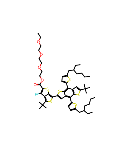 CCCCC(CC)Cc1ccc(-c2c3cc(C(C)(C)C)sc3c(-c3ccc(CC(CC)CCCC)s3)c3cc(-c4sc(C(C)(C)C)c5c(F)c(C(=O)OCCOCCOCCOCC)sc45)sc23)s1